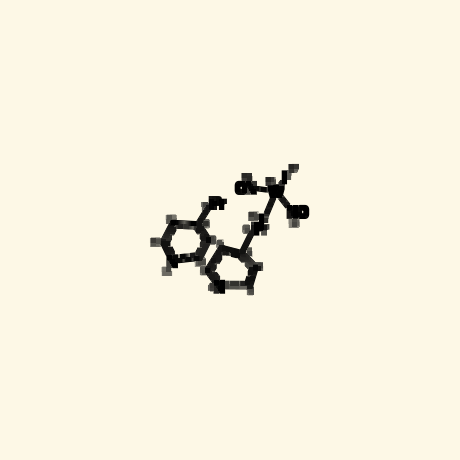 CC(C)c1ccncc1.CC(C)c1ccncc1.O=[N][W]([F])([F])[N]=O